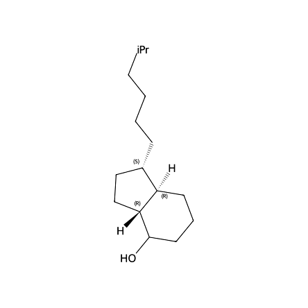 CC(C)CCCC[C@H]1CC[C@H]2C(O)CCC[C@H]12